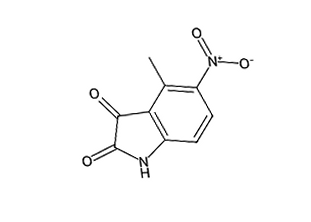 Cc1c([N+](=O)[O-])ccc2c1C(=O)C(=O)N2